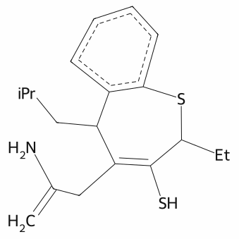 C=C(N)CC1=C(S)C(CC)Sc2ccccc2C1CC(C)C